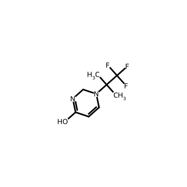 CC(C)(N1C=CC(O)=NC1)C(F)(F)F